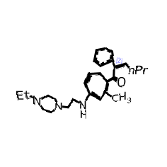 CCC/C=C(\C(=O)C1=C(C)C=C(NCCN2CCN(CC)CC2)C=CC1)c1ccccc1